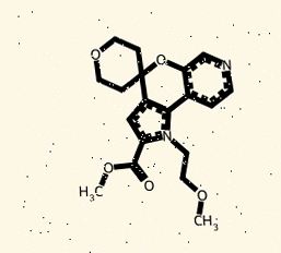 COCCn1c(C(=O)OC)cc2c1-c1ccncc1OC21CCOCC1